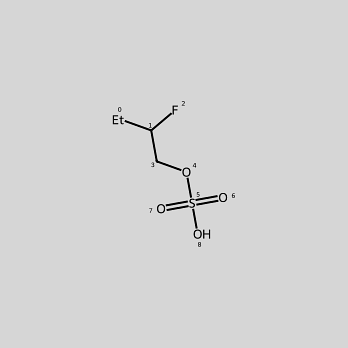 CCC(F)COS(=O)(=O)O